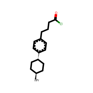 CCC[C@H]1CC[C@H](c2ccc(CCCC(=O)Cl)cc2)CC1